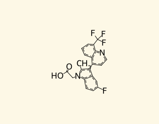 Cc1c(-c2ccnc3c(C(F)(F)F)cccc23)c2cc(F)ccc2n1CC(=O)O